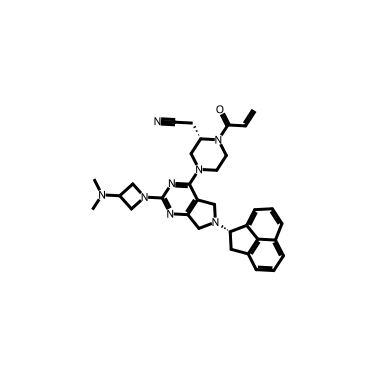 C=CC(=O)N1CCN(c2nc(N3CC(N(C)C)C3)nc3c2CN([C@H]2Cc4cccc5cccc2c45)C3)C[C@@H]1CC#N